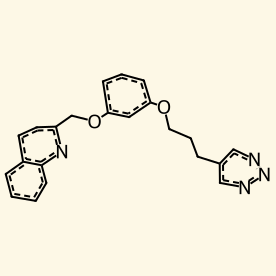 c1cc(OCCCc2cnnnc2)cc(OCc2ccc3ccccc3n2)c1